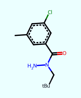 Cc1cc(Cl)cc(C(=O)N(N)CC(C)(C)C)c1